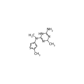 Cc1cc(N(C)C2=NC(C)N=C(N)N2)cs1